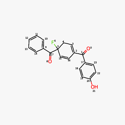 O=C(C1=CCC(F)(C(=O)c2ccccc2)C=C1)c1ccc(O)cc1